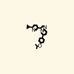 CC(C)Oc1ccc(-c2ccc3ncc(-c4ccc(C5CC5)nc4)n3c2)cc1